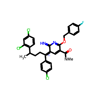 CNC(=O)C1=C/C(=C(/CCC(C)c2ccc(Cl)cc2Cl)c2ccc(Cl)cc2)C(=N)N=C1OCc1ccc(F)cc1